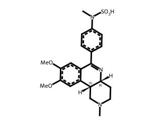 COc1cc2c(cc1OC)[C@H]1CN(C)CC[C@H]1N=C2c1ccc(N(C)S(=O)(=O)O)cc1